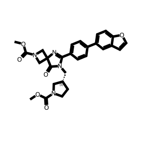 COC(=O)N1CC[C@@H](CN2C(=O)C3(CN(C(=O)OC)C3)N=C2c2ccc(-c3ccc4occc4c3)cc2)C1